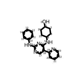 OC1CCC(Nc2nc(Nc3ccccc3)ncc2-c2ccccn2)CC1